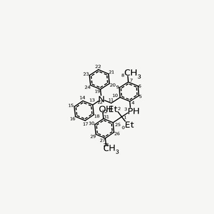 CCC(CC)(Pc1ccc(C)cc1CN(c1ccccc1)c1ccccc1)c1cc(C)ccc1O